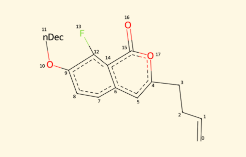 C=CCCc1cc2ccc(OCCCCCCCCCC)c(F)c2c(=O)o1